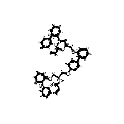 C=CC(=O)OC(COc1ccc(-c2ccccc2OCC(COc2ccccc2-c2ccccc2)OC(=O)C=C)cc1)COc1ccccc1-c1ccccc1